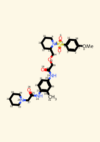 COc1ccc(S(=O)(=O)N2CCCCC2COCC(=O)Nc2ccc(NC(=O)CN3CCCCC3)c(C)c2)cc1